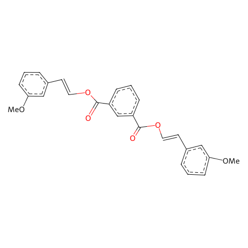 COc1cccc(/C=C/OC(=O)c2cccc(C(=O)O/C=C/c3cccc(OC)c3)c2)c1